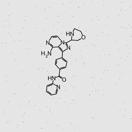 Nc1nccn2c(C3COCCN3)nc(-c3ccc(C(=O)Nc4ccccn4)cc3)c12